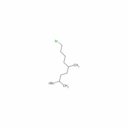 CCCCC(C)CCC(C)CCCCBr